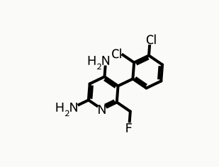 Nc1cc(N)c(-c2cccc(Cl)c2Cl)c(CF)n1